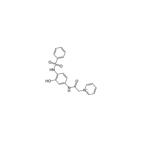 O=C(C[n+]1ccccc1)Nc1ccc(NS(=O)(=O)c2ccccc2)c(O)c1